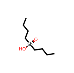 CCC[CH2][Sb](=[O])([OH])[CH2]CCC